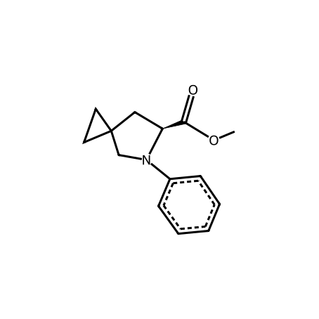 COC(=O)[C@@H]1CC2(CC2)CN1c1ccccc1